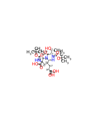 C[C@@H](O)[C@H](NC(=O)OC(C)(C)C)C(=O)N1C[C@@H](CCB(O)O)C[C@](NC(=O)OC(C)(C)C)(C(=O)O)C1